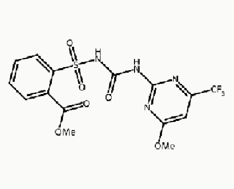 COC(=O)c1ccccc1S(=O)(=O)NC(=O)Nc1nc(OC)cc(C(F)(F)F)n1